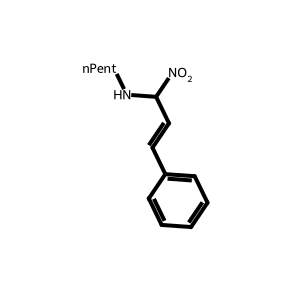 CCCCCNC(C=Cc1ccccc1)[N+](=O)[O-]